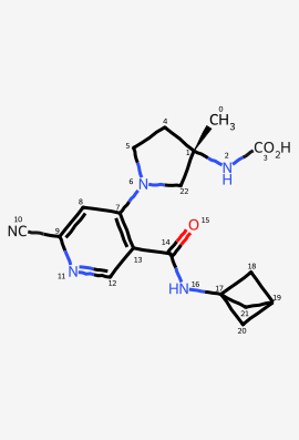 C[C@]1(NC(=O)O)CCN(c2cc(C#N)ncc2C(=O)NC23CC(C2)C3)C1